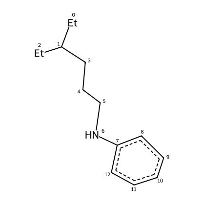 CCC(CC)CCCNc1ccccc1